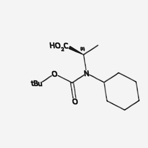 C[C@H](C(=O)O)N(C(=O)OC(C)(C)C)C1CCCCC1